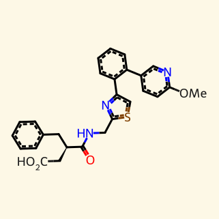 COc1ccc(-c2ccccc2-c2csc(CNC(=O)[C@@H](CC(=O)O)Cc3ccccc3)n2)cn1